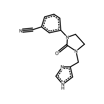 N#Cc1cccc(N2CCN(Cc3c[nH]cn3)C2=O)c1